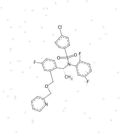 C[C@H](c1ccc(F)cc1COCc1ccccn1)N(c1cc(F)ccc1F)S(=O)(=O)c1ccc(Cl)cc1